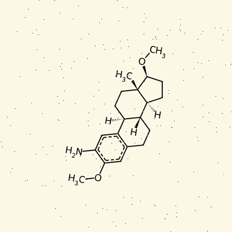 COc1cc2c(cc1N)[C@H]1CC[C@]3(C)[C@@H](OC)CC[C@H]3[C@@H]1CC2